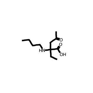 CCCCNC(CC)(CC(C)=O)C(=O)O